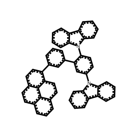 c1cc(-c2cc(-n3c4ccccc4c4ccccc43)ccc2-n2c3ccccc3c3ccccc32)cc(-c2ccc3ccc4cccc5ccc2c3c45)c1